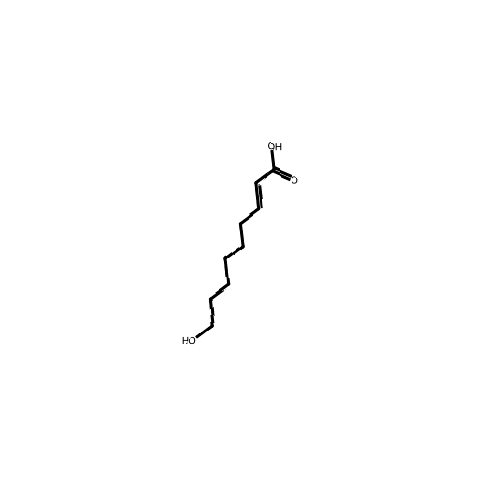 O=C(O)C=CCCCCCCO